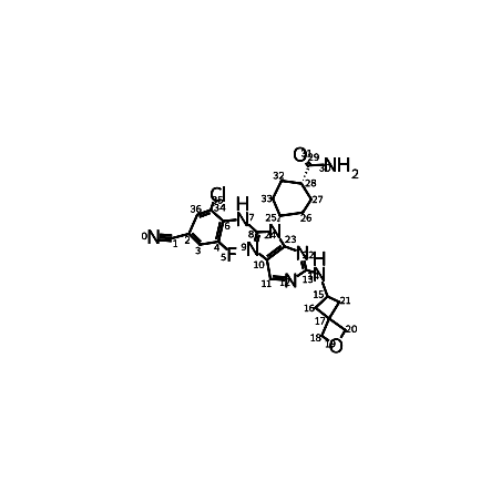 N#Cc1cc(F)c(Nc2nc3cnc(NC4CC5(COC5)C4)nc3n2[C@H]2CC[C@@H](C(N)=O)CC2)c(Cl)c1